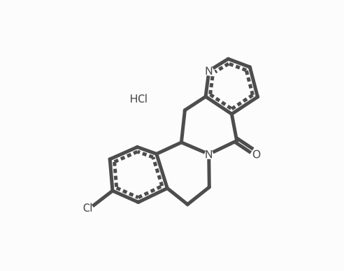 Cl.O=C1c2cccnc2CC2c3ccc(Cl)cc3CCN12